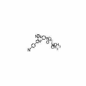 CN(C)CC[C@H]1CCN(c2ccc3c(c2)Cn2cc(-c4ccc(C#N)cc4)cc2-c2nccn2-3)C1=O